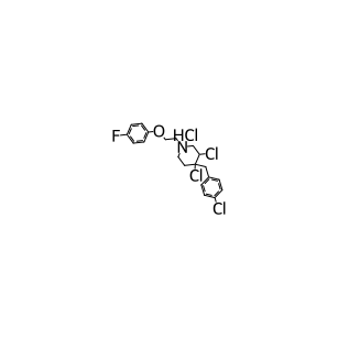 Cl.Fc1ccc(OCCN2CCC(Cl)(Cc3ccc(Cl)cc3)C(Cl)C2)cc1